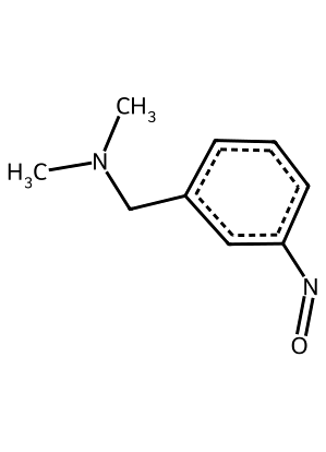 CN(C)Cc1cccc(N=O)c1